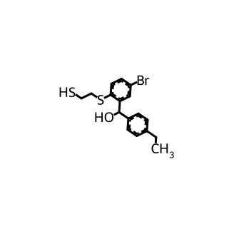 CCc1ccc(C(O)c2cc(Br)ccc2SCCS)cc1